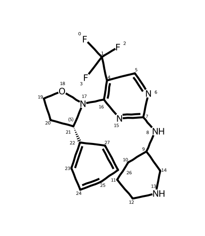 FC(F)(F)c1cnc(NC2CCCNC2)nc1N1OCC[C@H]1c1ccccc1